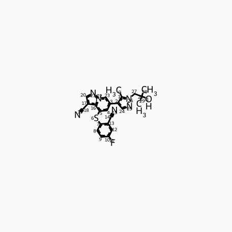 Cc1c(-c2cc(Sc3ccc(F)cc3C#N)c3c(C#N)cnn3c2)cnn1CC(C)(C)O